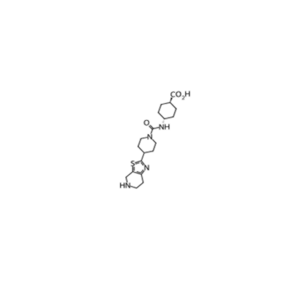 O=C(N[C@H]1CC[C@H](C(=O)O)CC1)N1CCC(c2nc3c(s2)CNCC3)CC1